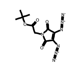 CC(C)(C)OC(=O)CN1C(=O)C(N=[N+]=[N-])=C(N=[N+]=[N-])C1=O